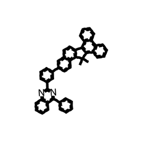 CC1(C)c2c(ccc3cc(-c4cccc(-c5nc(-c6ccccc6)c6ccccc6n5)c4)ccc23)-c2c1c1ccccc1c1ccccc21